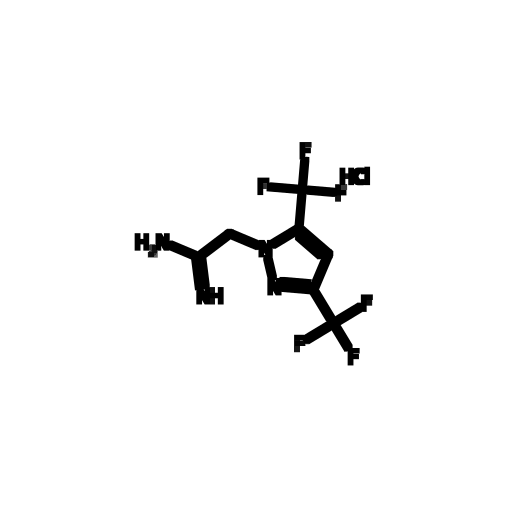 Cl.N=C(N)Cn1nc(C(F)(F)F)cc1C(F)(F)F